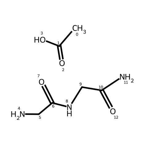 CC(=O)O.NCC(=O)NCC(N)=O